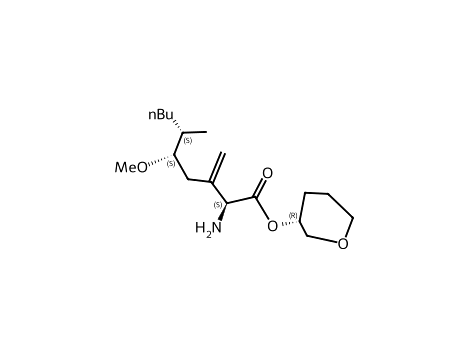 C=C(C[C@H](OC)[C@@H](C)CCCC)[C@H](N)C(=O)O[C@@H]1CCCOC1